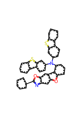 c1ccc(-c2nc3cc4oc5cccc(N(c6ccc7c(c6)sc6ccccc67)c6ccc7c(c6)sc6ccccc67)c5c4cc3o2)cc1